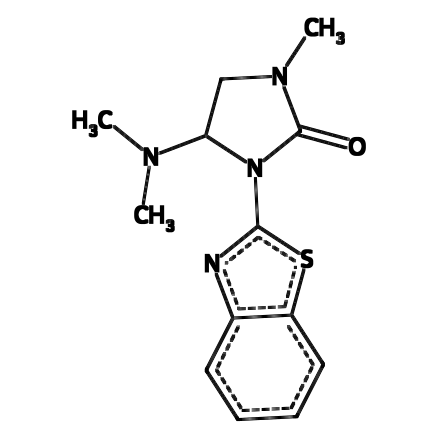 CN1CC(N(C)C)N(c2nc3ccccc3s2)C1=O